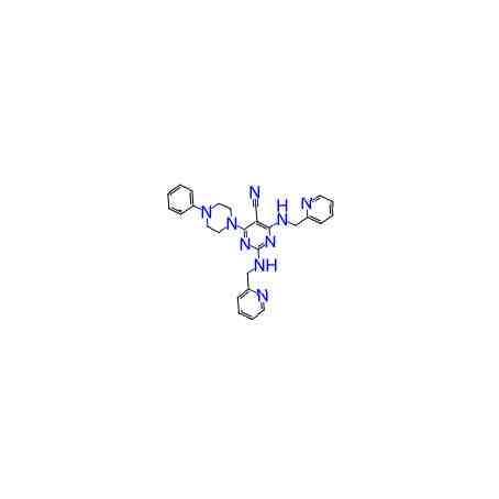 N#Cc1c(NCc2ccccn2)nc(NCc2ccccn2)nc1N1CCN(c2ccccc2)CC1